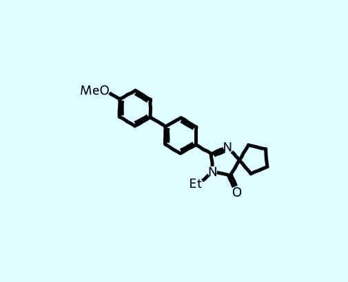 CCN1C(=O)C2(CCCC2)N=C1c1ccc(-c2ccc(OC)cc2)cc1